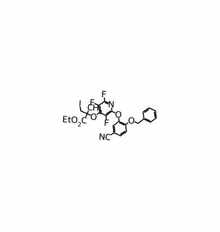 CCOC(=O)C(C)(CI)Oc1c(F)c(F)nc(Oc2cc(C#N)ccc2OCc2ccccc2)c1F